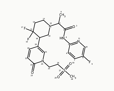 CC(C(=O)Nc1ccc(F)cn1)N1CCC(F)(F)C(c2ccc(=O)n(CCS(C)(=O)=O)c2)C1